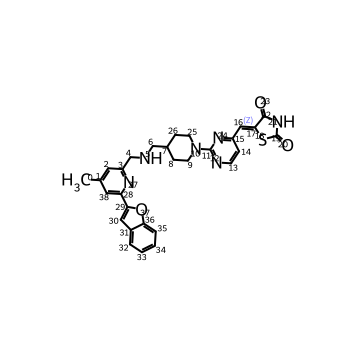 Cc1cc(CNCC2CCN(c3nccc(/C=C4\SC(=O)NC4=O)n3)CC2)nc(-c2cc3ccccc3o2)c1